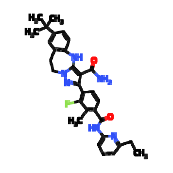 CCc1cccc(NC(=O)c2ccc(-c3nn4c(c3C(N)=O)Nc3ccc(C(C)(C)C)cc3CC4)c(F)c2C)n1